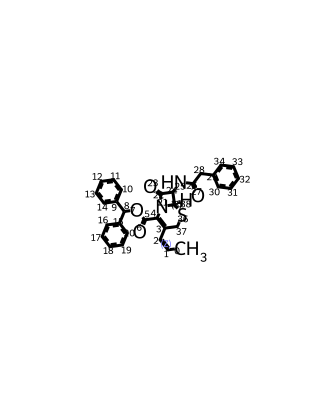 C/C=C\C1=C(C(=O)OC(c2ccccc2)c2ccccc2)N2C(=O)C(NC(=O)Cc3ccccc3)[C@@H]2SC1